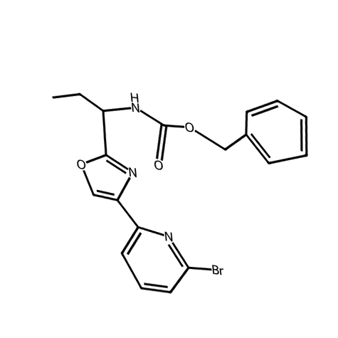 CCC(NC(=O)OCc1ccccc1)c1nc(-c2cccc(Br)n2)co1